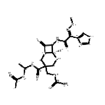 CON=C(C(=O)NC1C(=O)N2CC(COC(N)=O)(C(=O)OC(C)OC(C)=O)CS[C@H]12)c1cscn1